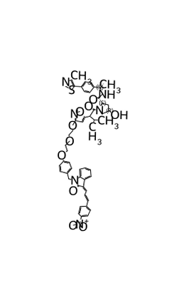 Cc1ncsc1-c1ccc([C@H](C)NC(=O)[C@@H]2C[C@@H](O)CN2C(=O)C(c2cc(OCCOCCOc3ccc(CN4C(=O)C(=CC=Cc5ccc([N+](=O)[O-])cc5)c5ccccc54)cc3)no2)C(C)C)cc1